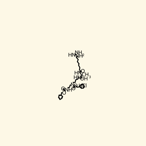 CC(NC(=O)CCCCCCCNC(=N)N)C(O)NCCCCN(CCCNC(=O)OCc1ccccc1)C(=O)OCc1ccccc1.Cl